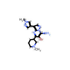 CN1CCCC(c2nc3c(-c4cnn(C)c4)cnn3c(N)c2Br)C1